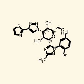 Cc1nc([C@H]2O[C@@H](CO)[C@@H](O)[C@@H](n3cc(-c4nccs4)nn3)[C@@H]2O)n(-c2cc(Cl)ccc2Br)n1